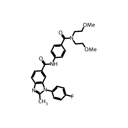 COCCN(CCOC)C(=O)c1ccc(NC(=O)c2ccc3nc(C)n(-c4ccc(F)cc4)c3c2)cc1